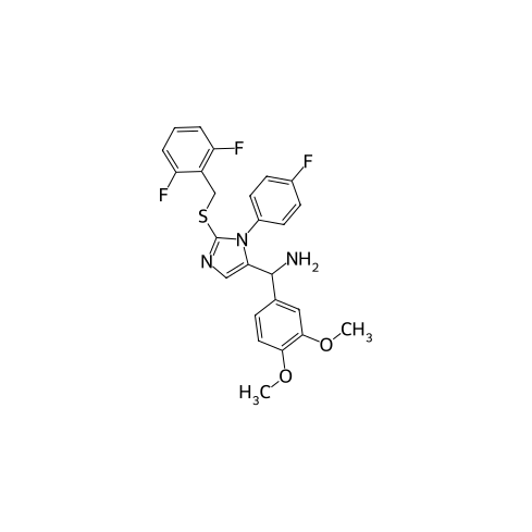 COc1ccc(C(N)c2cnc(SCc3c(F)cccc3F)n2-c2ccc(F)cc2)cc1OC